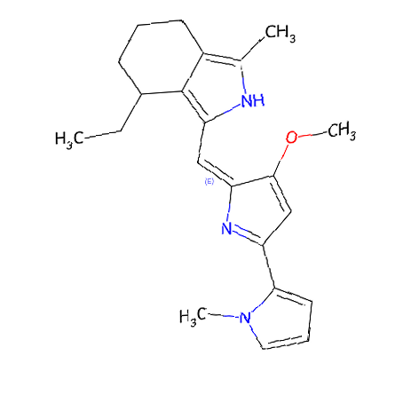 CCC1CCCc2c(C)[nH]c(/C=C3/N=C(c4cccn4C)C=C3OC)c21